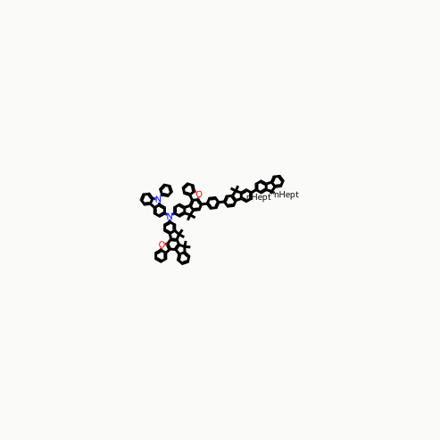 CCCCCCCC1(CCCCCCC)c2ccccc2-c2ccc(-c3ccc4c(c3)C(C)(C)c3cc(-c5ccc(-c6cc7c(c8c6oc6ccccc68)-c6ccc(N(c8ccc9c(c8)C(C)(C)c8c%10c(c%11c(oc%12ccccc%12%11)c8-9)-c8ccccc8C%10(C)C)c8ccc9c%10ccccc%10n(-c%10ccccc%10)c9c8)cc6C7(C)C)cc5)ccc3-4)cc21